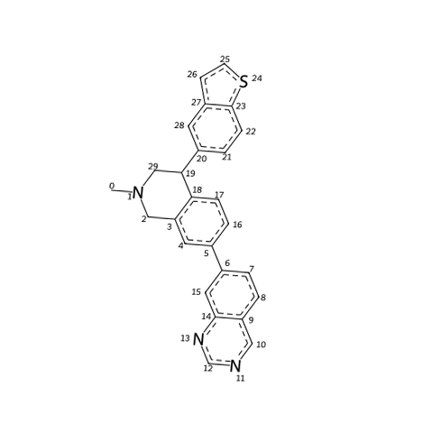 CN1Cc2cc(-c3ccc4cncnc4c3)ccc2C(c2ccc3sccc3c2)C1